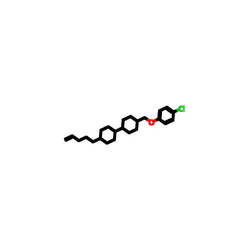 C=CCCCC1CCC(C2CCC(COc3ccc(Cl)cc3)CC2)CC1